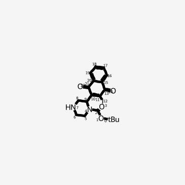 CC(C)(C)OC(=O)N1CCNCC1C1=C(I)C(=O)c2ccccc2C1=O